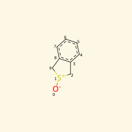 [O-][S+]1Cc2ccccc2C1